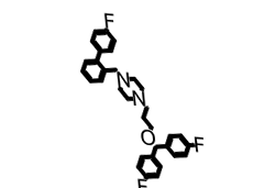 Fc1ccc(-c2ccccc2CN2CCN(CCCOC(c3ccc(F)cc3)c3ccc(F)cc3)CC2)cc1